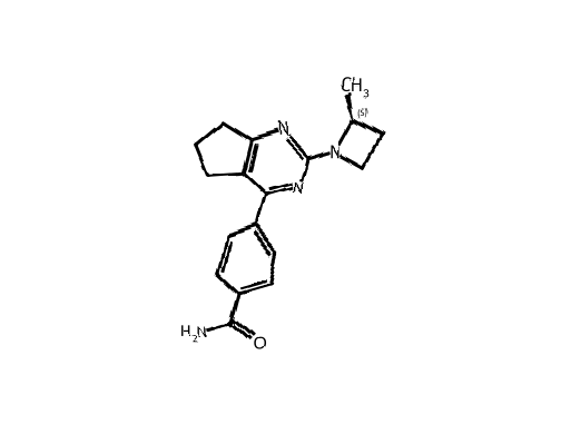 C[C@H]1CCN1c1nc2c(c(-c3ccc(C(N)=O)cc3)n1)CCC2